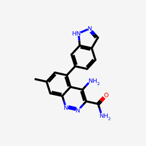 Cc1cc(-c2ccc3cn[nH]c3c2)c2c(N)c(C(N)=O)nnc2c1